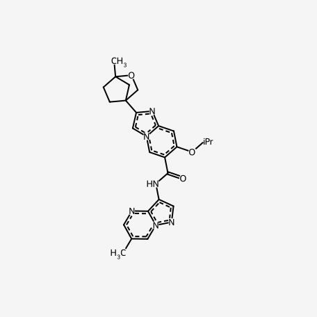 Cc1cnc2c(NC(=O)c3cn4cc(C56CCC(C)(C5)OC6)nc4cc3OC(C)C)cnn2c1